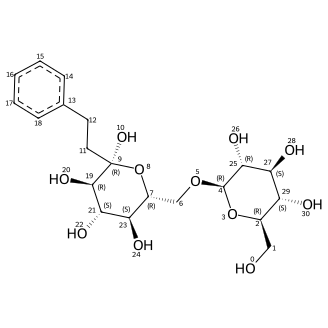 OC[C@H]1O[C@@H](OC[C@H]2O[C@](O)(CCc3ccccc3)[C@H](O)[C@@H](O)[C@@H]2O)[C@H](O)[C@@H](O)[C@@H]1O